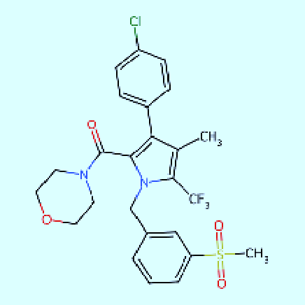 Cc1c(-c2ccc(Cl)cc2)c(C(=O)N2CCOCC2)n(Cc2cccc(S(C)(=O)=O)c2)c1C(F)(F)F